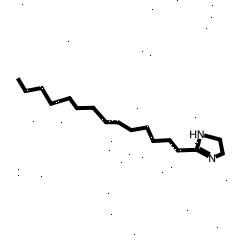 CCCCCCCCCCCCCCC1=NCCN1